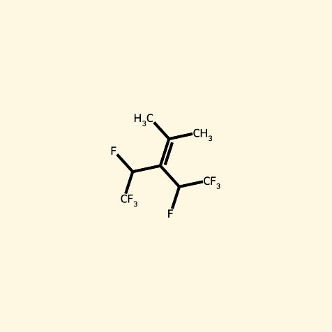 CC(C)=C(C(F)C(F)(F)F)C(F)C(F)(F)F